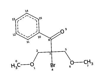 COCC(Br)(COC)C(=O)c1ccccc1